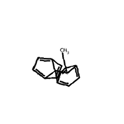 C[C]1c2ccc(cc2)C12C1=CC=C2C=C1